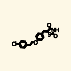 O=C1NC(=O)C(=Cc2ccc(OCCc3ccc(Cl)cc3)cc2)S1